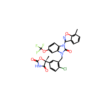 Cc1cccc2c(-n3c(=O)n(Cc4cc([C@@]5(C)OC(=O)NC5=O)ccc4Cl)c4cc(OC(F)(F)F)ccc43)noc12